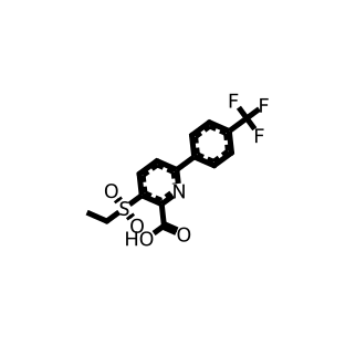 CCS(=O)(=O)c1ccc(-c2ccc(C(F)(F)F)cc2)nc1C(=O)O